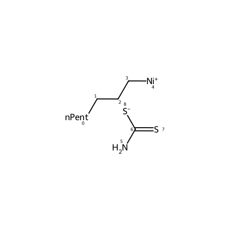 CCCCCCC[CH2][Ni+].NC(=S)[S-]